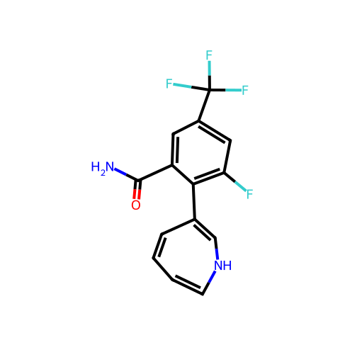 NC(=O)c1cc(C(F)(F)F)cc(F)c1C1=CNC=CC=C1